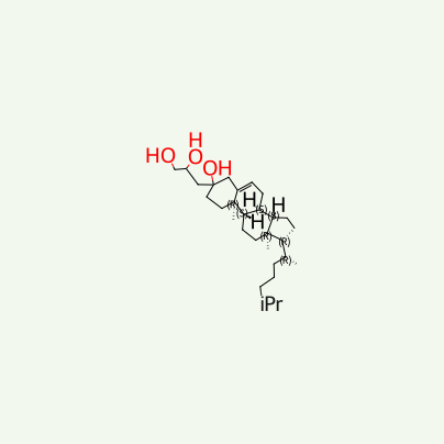 CC(C)CCC[C@@H](C)[C@H]1CC[C@H]2[C@@H]3CC=C4CC(O)(CC(O)CO)CC[C@]4(C)[C@H]3CC[C@]12C